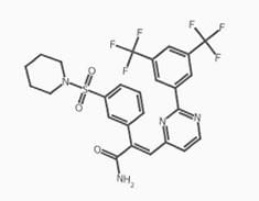 NC(=O)/C(=C/c1ccnc(-c2cc(C(F)(F)F)cc(C(F)(F)F)c2)n1)c1cccc(S(=O)(=O)N2CCCCC2)c1